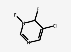 FC1C(Cl)=CN=CN1F